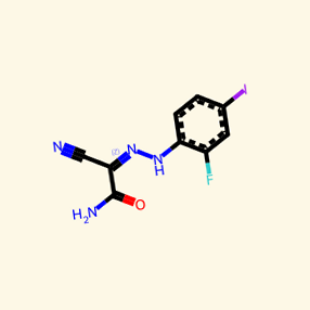 N#C/C(=N/Nc1ccc(I)cc1F)C(N)=O